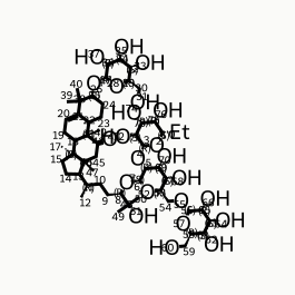 CC[C@@H]1O[C@H](O[C@H]2[C@H](O[C@H](CC[C@@H](C)C3CC[C@@]4(C)C5CC=C6C(CC[C@H](O[C@@H]7O[C@H](CO)[C@@H](O)[C@H](O)[C@H]7O)C6(C)C)[C@]5(C)C(=O)C[C@]34C)C(C)(C)O)O[C@H](CO[C@H]3O[C@H](CO)[C@@H](O)[C@H](O)[C@H]3O)[C@@H](O)[C@@H]2O)[C@@H](O)[C@H](O)[C@H]1O